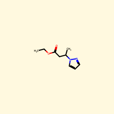 CCOC(=O)CC(C)n1cccn1